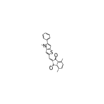 Cc1ccc(C)c2c1C(=O)C(=Cc1cc3c(cc(-c4ccccc4)n3C)s1)C2=O